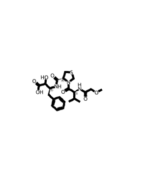 COCC(=O)N[C@H](C(=O)N1CSC[C@H]1C(=O)N[C@@H](Cc1ccccc1)C(O)C(=O)O)C(C)C